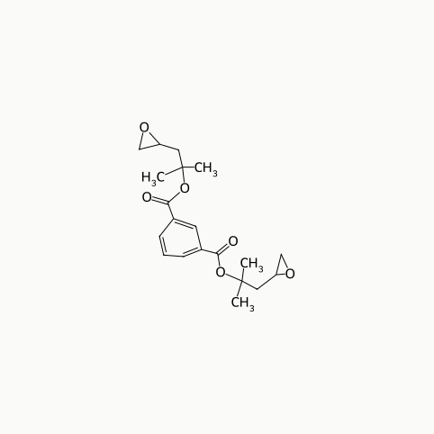 CC(C)(CC1CO1)OC(=O)c1cccc(C(=O)OC(C)(C)CC2CO2)c1